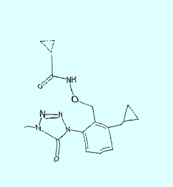 Cn1nnn(-c2cccc(C3CC3)c2CONC(=O)C2CC2)c1=O